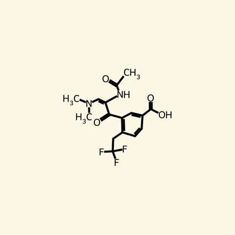 CC(=O)N/C(=C/N(C)C)C(=O)c1cc(C(=O)O)ccc1CC(F)(F)F